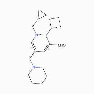 CN(/C=C(\C=C(\C=O)CC1CCC1)CN1CCCCC1)CC1CC1